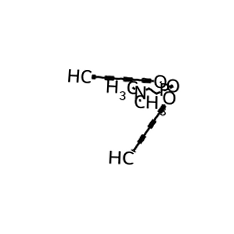 C#CC#CC#CC#COP(=O)(CCN(C)C)OC#CC#CC#CC#C